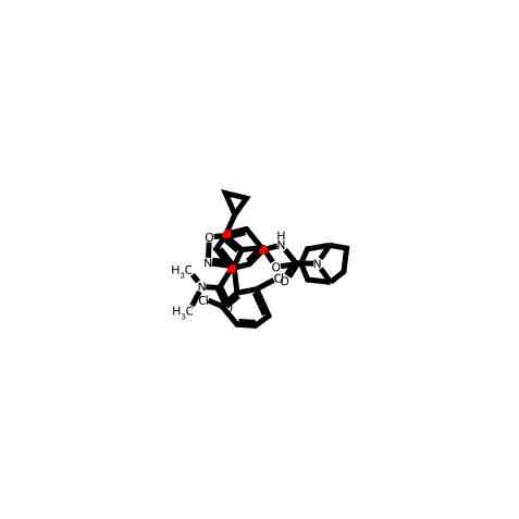 CN(C)C(=O)c1cccc(NC(=O)N2C3CCC2CC(OCc2c(-c4c(Cl)cccc4Cl)noc2C2CC2)C3)c1